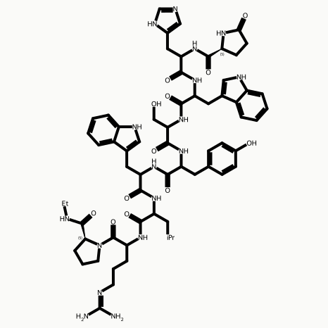 CCNC(=O)[C@@H]1CCCN1C(=O)C(CCCN=C(N)N)NC(=O)C(CC(C)C)NC(=O)C(Cc1c[nH]c2ccccc12)NC(=O)C(Cc1ccc(O)cc1)NC(=O)C(CO)NC(=O)C(Cc1c[nH]c2ccccc12)NC(=O)C(Cc1cnc[nH]1)NC(=O)[C@@H]1CCC(=O)N1